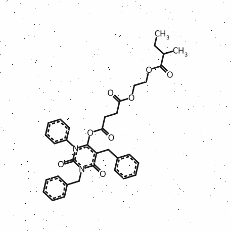 CCC(C)C(=O)OCCOC(=O)CCC(=O)Oc1c(Cc2ccccc2)c(=O)n(Cc2ccccc2)c(=O)n1-c1ccccc1